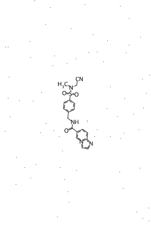 CN(CC#N)S(=O)(=O)c1ccc(CNC(=O)c2ccc3nccn3c2)cc1